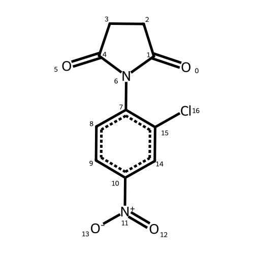 O=C1CCC(=O)N1c1ccc([N+](=O)[O-])cc1Cl